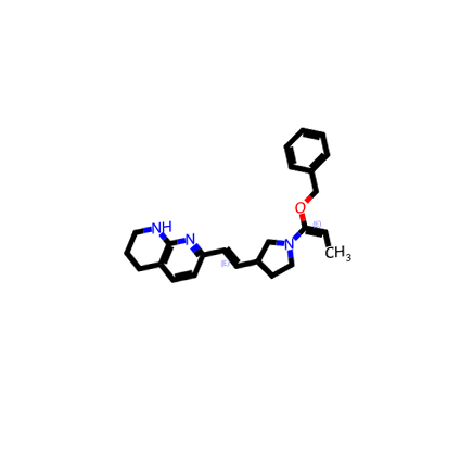 C/C=C(/OCc1ccccc1)N1CCC(/C=C/c2ccc3c(n2)NCCC3)C1